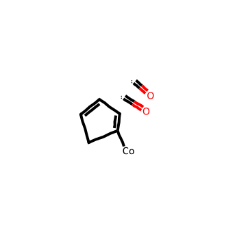 [C]=O.[C]=O.[Co][C]1=CC=CC1